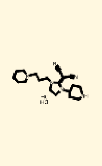 Cl.Cl.N#CC(C#N)=C1N(CCCN2CCCCC2)CCN1C1CCNCC1